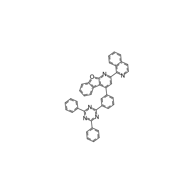 c1ccc(-c2nc(-c3ccccc3)nc(-c3cccc(-c4cc(-c5nccc6ccccc56)nc5oc6ccccc6c45)c3)n2)cc1